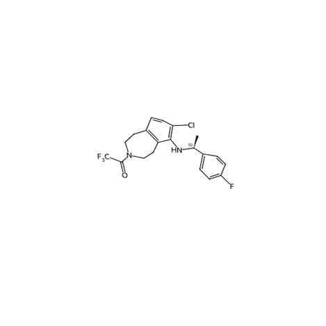 C[C@H](Nc1c(Cl)ccc2c1CCN(C(=O)C(F)(F)F)CC2)c1ccc(F)cc1